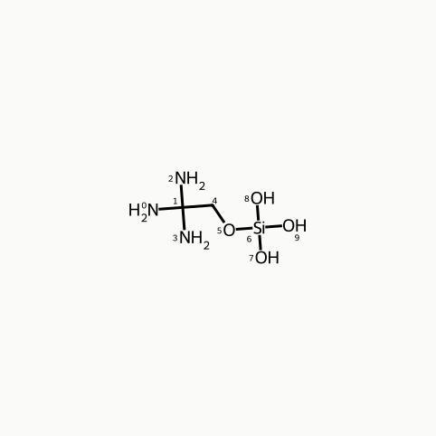 NC(N)(N)CO[Si](O)(O)O